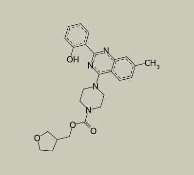 Cc1ccc2c(N3CCN(C(=O)OCC4CCOC4)CC3)nc(-c3ccccc3O)nc2c1